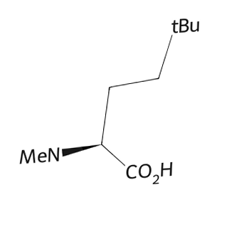 CN[C@@H](CCC(C)(C)C)C(=O)O